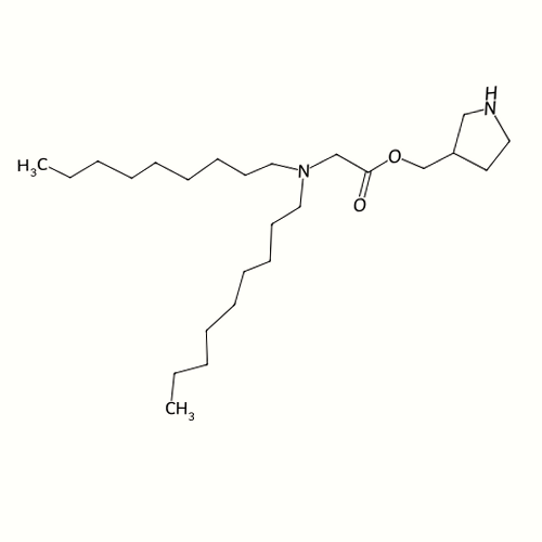 CCCCCCCCCN(CCCCCCCCC)CC(=O)OCC1CCNC1